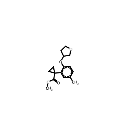 COC(=O)C1(c2cc(C)ccc2OC2CCOC2)CC1